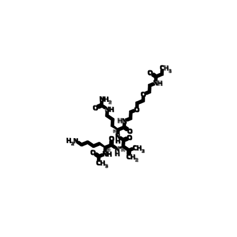 C=C(C)[C@H](NC(=O)[C@H](CCCCN)NC(C)=O)C(=O)N[C@@H](CCCNC(N)=O)C(=O)NCCOCCOCCNC(=O)CC